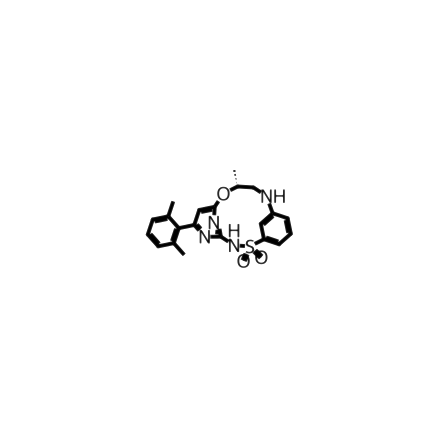 Cc1cccc(C)c1-c1cc2nc(n1)NS(=O)(=O)c1cccc(c1)NC[C@@H](C)O2